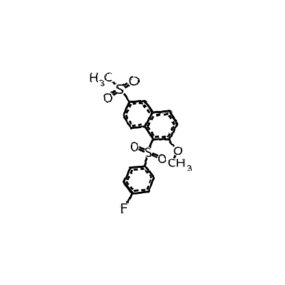 COc1ccc2cc(S(C)(=O)=O)ccc2c1S(=O)(=O)c1ccc(F)cc1